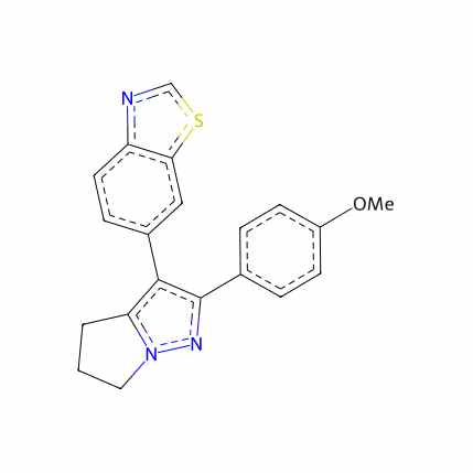 COc1ccc(-c2nn3c(c2-c2ccc4ncsc4c2)CCC3)cc1